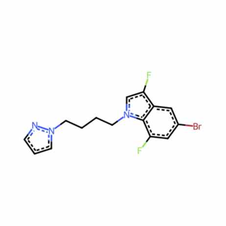 Fc1cn(CCCCn2cccn2)c2c(F)cc(Br)cc12